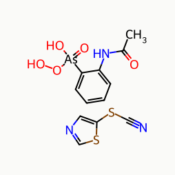 CC(=O)Nc1ccccc1[As](=O)(O)OO.N#CSc1cncs1